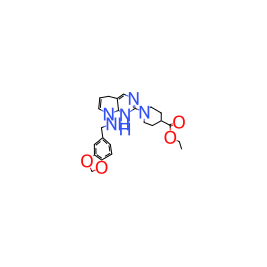 CCOC(=O)C1CCN(C2=NC=C3CC=CN(NCc4ccc5c(c4)OCO5)C3N2)CC1